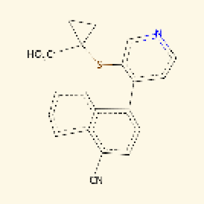 N#Cc1ccc(-c2ccncc2SC2(C(=O)O)CC2)c2ccccc12